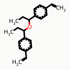 C=Cc1ccc(C(CC)OC(CC)c2ccc(C=C)cc2)cc1